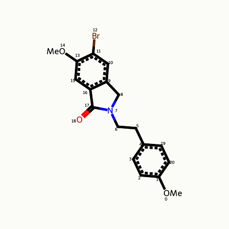 COc1ccc(CCN2Cc3cc(Br)c(OC)cc3C2=O)cc1